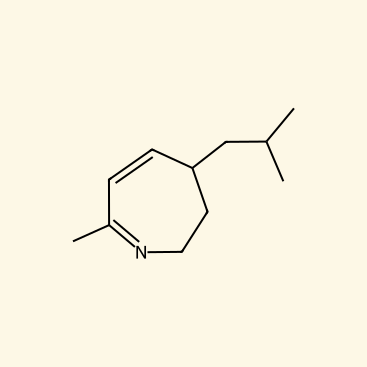 CC1=NCCC(CC(C)C)C=C1